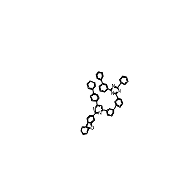 c1ccc(-c2ccc(-c3cc(-c4cccc(-c5cccc(-c6nc(-c7ccccc7)nc(-c7cccc(-c8ccccc8)c7)n6)c5)c4)nc(-c4ccc5c(c4)oc4ccccc45)n3)cc2)cc1